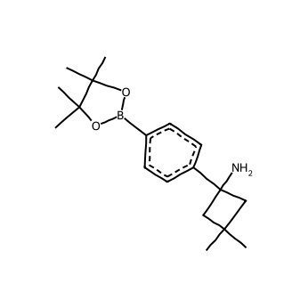 CC1(C)CC(N)(c2ccc(B3OC(C)(C)C(C)(C)O3)cc2)C1